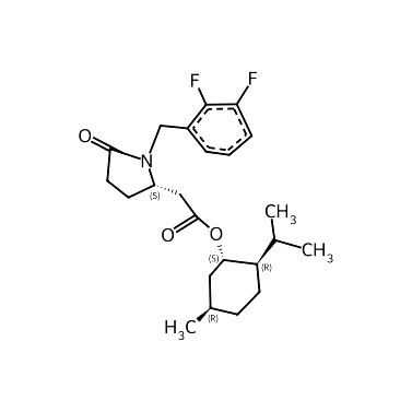 CC(C)[C@H]1CC[C@@H](C)C[C@@H]1OC(=O)C[C@@H]1CCC(=O)N1Cc1cccc(F)c1F